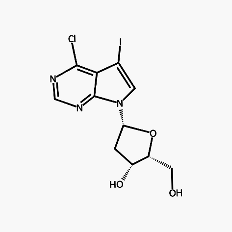 OC[C@H]1O[C@@H](n2cc(I)c3c(Cl)ncnc32)C[C@H]1O